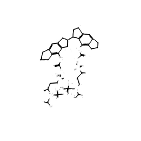 CC(C)N(CCC(C)S(=O)(=O)NC(=O)Nc1c2c(cc3c1C(C1Cc4cc5c(c(NC(=O)NS(=O)(=O)CCC(C)N(C(C)C)C(C)(C)C)c4C1)CCC5)CC3)CCC2)C(C)(C)C